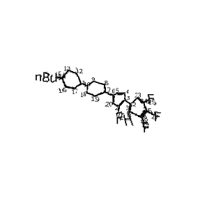 [2H]c1c(-c2ccc(C3CCC(C4CCC(CCCC)CC4)CC3)cc2F)cc(F)c(F)c1F